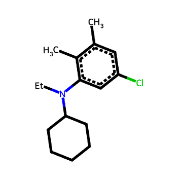 CCN(c1cc(Cl)cc(C)c1C)C1CCCCC1